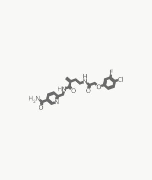 C=C(CCNC(=O)COc1ccc(Cl)c(F)c1)C(=O)NCc1ccc(C(N)=O)cn1